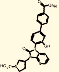 COC(=O)c1ccc(-c2ccc(-n3c(=O)n(C4CCN(C(=O)O)C4)c4ncccc43)c(O)c2)cc1